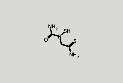 NC(=O)N(S)CC(N)=S